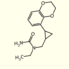 CCN(CC1CC1c1cccc2c1OCCO2)C(N)=O